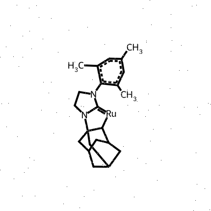 Cc1cc(C)c(N2CCN3[C]2=[Ru][CH]2C4CC5CC(C4)CC23C5)c(C)c1